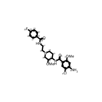 COc1cc(N)c(Cl)cc1C(=O)NC1CCN(CCNC(=O)c2ccc(F)cc2)CC1OC